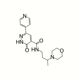 CC(CCNC(=O)c1cc(-c2ccncc2)n[nH]c1=O)N1CCOCC1